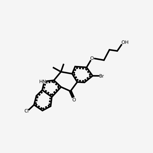 CC1(C)c2cc(OCCCO)c(Br)cc2C(=O)c2c1[nH]c1cc(Cl)ccc21